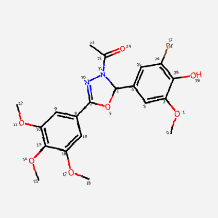 COc1cc(C2OC(c3cc(OC)c(OC)c(OC)c3)=NN2C(C)=O)cc(Br)c1O